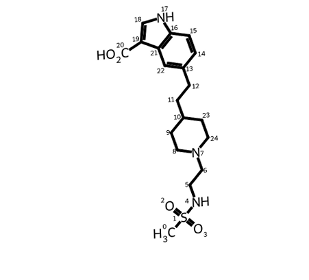 CS(=O)(=O)NCCN1CCC(CCc2ccc3[nH]cc(C(=O)O)c3c2)CC1